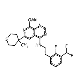 COc1nc(C2(C)CCSCC2)cc2c(NCCc3cccc(C(F)F)c3F)ncnc12